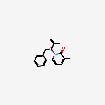 C=C(C)[C@H](Cc1ccccc1)n1cccc(C)c1=O